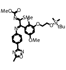 COC(=O)N=C(SC)C(=Nc1ccc(-c2noc(C)n2)cc1)c1cc(OC)cc(OCCO[Si](C)(C)C(C)(C)C)c1F